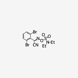 CCN(CC)S(=O)(=O)ON=C(C#N)c1c(Br)cccc1Br